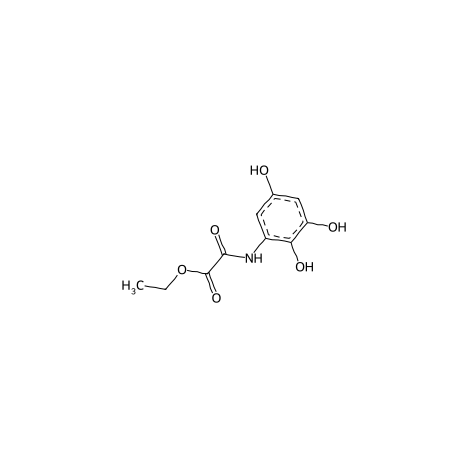 CCOC(=O)C(=O)Nc1cc(O)cc(O)c1O